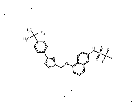 CC(C)(C)c1ccc(-c2nc(COc3cccc4cc(NS(=O)(=O)C(F)(F)F)ccc34)cs2)cc1